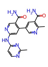 Cc1nccc(Nc2cc(-c3cnc(C)c(C(N)=O)c3)c(C(N)=O)cn2)n1